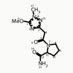 COc1nc(CC(=O)N2CCCC2C(N)=O)nn1C